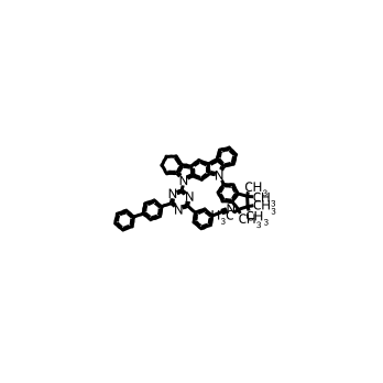 CC1(C)c2ccc(-n3c4ccccc4c4cc5c6c(n(-c7nc(-c8ccc(-c9ccccc9)cc8)nc(-c8cccc(C#N)c8)n7)c5cc43)=CCCC=6)cc2C(C)(C)C1(C)C